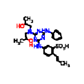 CC=Cc1ccc(Nc2nc(Nc3ccccc3)nc(N(CC(C)O)CC(C)O)n2)cc1S(=O)(=O)O